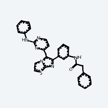 O=C(Cc1ccccc1)Nc1cccc(-c2nc3sccn3c2-c2ccnc(Nc3ccccc3)n2)c1